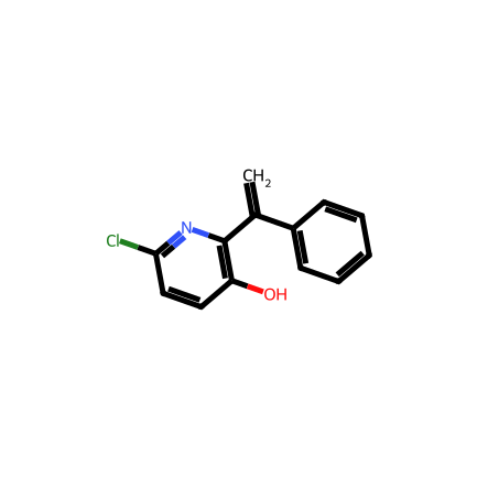 C=C(c1ccccc1)c1nc(Cl)ccc1O